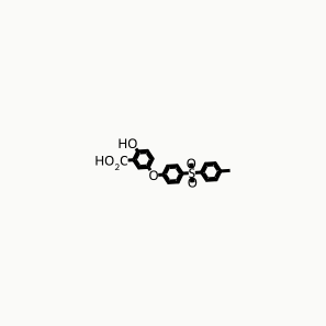 Cc1ccc(S(=O)(=O)c2ccc(Oc3ccc(O)c(C(=O)O)c3)cc2)cc1